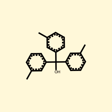 Cc1cccc(C(O)(c2cccc(C)c2)c2cccc(C)c2)c1